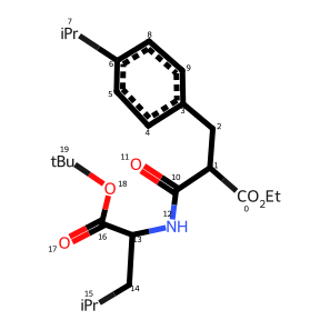 CCOC(=O)C(Cc1ccc(C(C)C)cc1)C(=O)NC(CC(C)C)C(=O)OC(C)(C)C